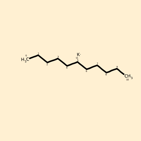 CCCCCCCCCCC.[K]